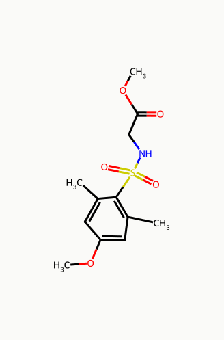 COC(=O)CNS(=O)(=O)c1c(C)cc(OC)cc1C